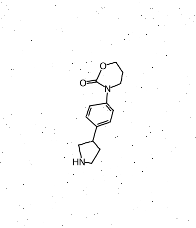 O=C1OCCCN1c1ccc(C2CCNC2)cc1